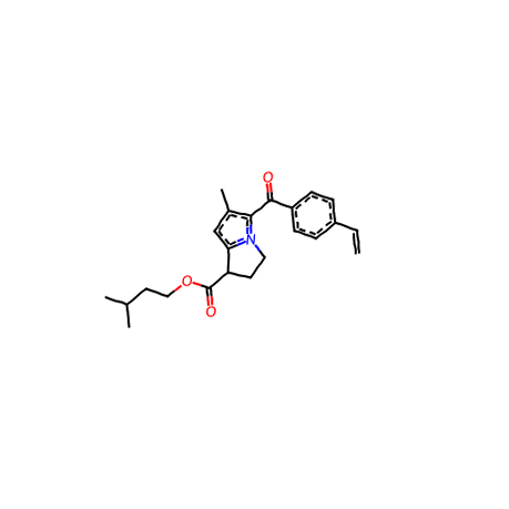 C=Cc1ccc(C(=O)c2c(C)cc3n2CCC3C(=O)OCCC(C)C)cc1